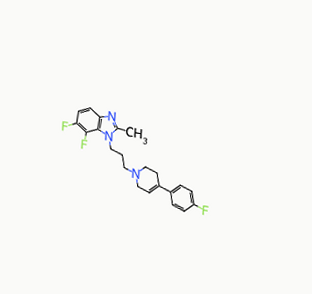 Cc1nc2ccc(F)c(F)c2n1CCCN1CC=C(c2ccc(F)cc2)CC1